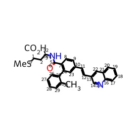 CSCC[C@H](NC(=O)c1ccc(C=Cc2cnc3ccccc3c2)cc1-c1ccccc1C)C(=O)O